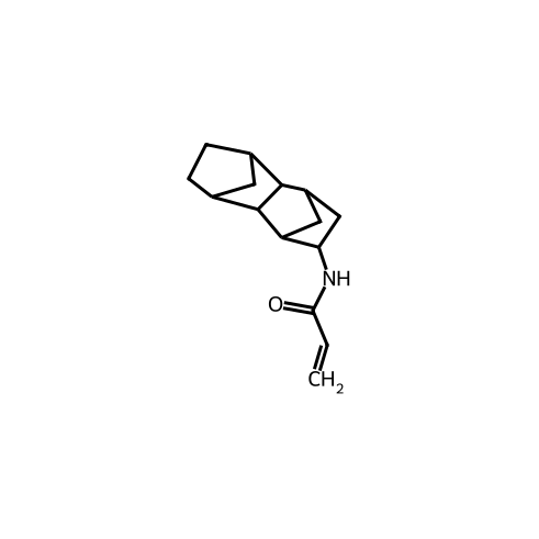 C=CC(=O)NC1CC2CC1C1C3CCC(C3)C21